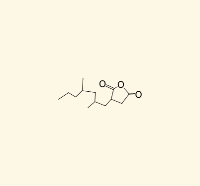 CCCC(C)CC(C)CC1CC(=O)OC1=O